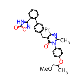 CCCc1nc(C)n(-c2ccc(OC(C)COC)cc2)c(=O)c1Cc1ccc(-c2ccccc2-c2noc(=O)[nH]2)cc1